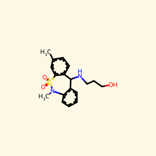 Cc1ccc2c(c1)S(=O)(=O)N(C)c1ccccc1C2NCCCO